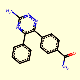 NC(=O)c1ccc(-c2nnc(N)nc2-c2ccccc2)cc1